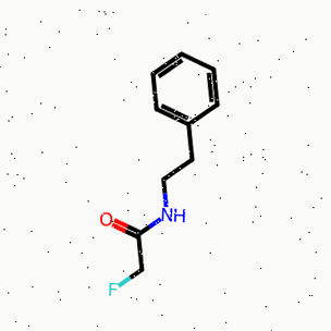 O=C(CF)NCCc1ccccc1